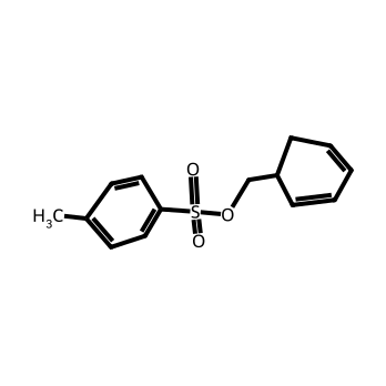 Cc1ccc(S(=O)(=O)OCC2C=CC=CC2)cc1